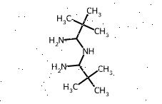 CC(C)(C)C(N)NC(N)C(C)(C)C